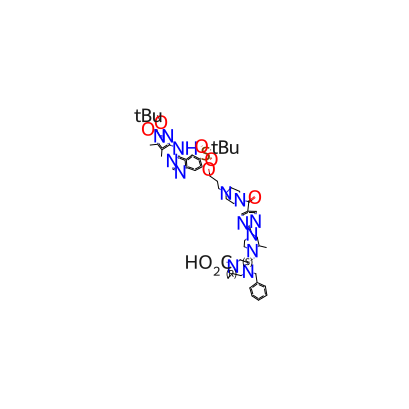 Cc1c(Nc2ncnc3cc(OCCCN4CCN(C(=O)c5cnc(N6CCN(C[C@H]7CN(C(=O)O)[C@H](C)CN7Cc7ccccc7)C(C)C6)nc5)CC4)c(S(=O)(=O)C(C)(C)C)cc23)nn(C(=O)OC(C)(C)C)c1C